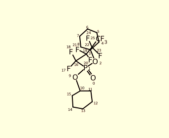 O=P(OC1CCCCC1)(OC1CCCCC1)C(F)(F)C(F)(F)C(F)(F)C(F)(F)F